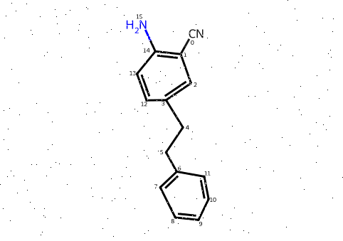 N#Cc1cc(CCc2ccccc2)ccc1N